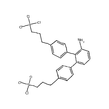 Nc1cccc(-c2ccc(CCC[Si](Cl)(Cl)Cl)cc2)c1-c1ccc(CCC[Si](Cl)(Cl)Cl)cc1